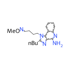 CCCCc1nc2c(N)nc3ccccc3c2n1CCCC=NOC